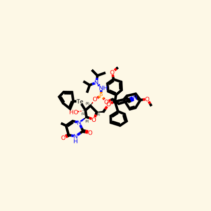 COc1ccc(C(OC[C@H]2O[C@@H](n3cc(C)c(=O)[nH]c3=O)[C@@](O)([Te]c3ccccc3)[C@@H]2OP(NN(C(C)C)C(C)C)OCCC#N)(c2ccccc2)c2ccc(OC)cc2)cc1